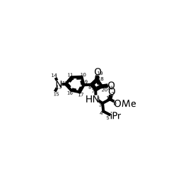 COC(=O)C(CC(C)C)Nc1c(-c2ccc(N(C)C)cc2)c(=O)c1=O